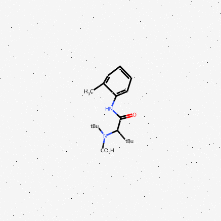 Cc1ccccc1NC(=O)C(N(C(=O)O)C(C)(C)C)C(C)(C)C